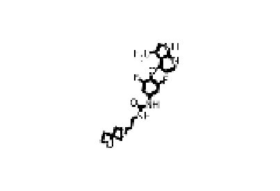 O=C(NCCN1CC2(CCO2)C1)Nc1cc(F)c(Oc2ccnc3[nH]cc(C(F)(F)F)c23)c(F)c1